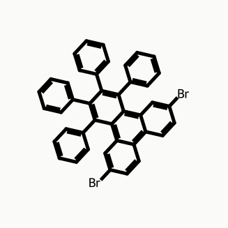 Brc1ccc2c3ccc(Br)cc3c3c(-c4ccccc4)c(-c4ccccc4)c(-c4ccccc4)c(-c4ccccc4)c3c2c1